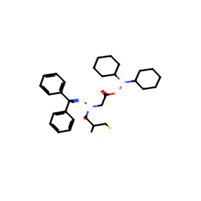 CC(CS)C(=O)N(CC(=O)ON(C1CCCCC1)C1CCCCC1)N=C(c1ccccc1)c1ccccc1